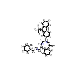 C=C1/C=C(c2ccc3c4ccccc4n(C(C)(C)C)c3c2)\C=C/N(/C=N/Cc2ccccc2)c2ccccc21